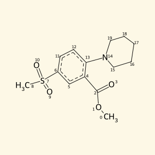 COC(=O)c1cc(S(C)(=O)=O)ccc1N1CCCCC1